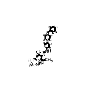 C=N/C=C(C#N)\C(=N/CNc1ccc(N2CCN(Cc3ccccc3)CC2)cn1)c1sc(NC)nc1C